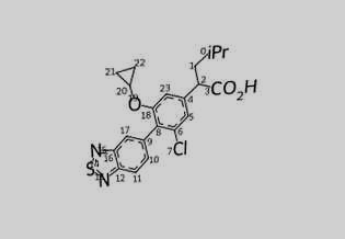 CC(C)CC(C(=O)O)c1cc(Cl)c(-c2ccc3nsnc3c2)c(OC2CC2)c1